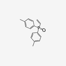 C=CP(=O)(c1ccc(C)cc1)c1ccc(C)cc1